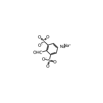 O=Cc1c(S(=O)(=O)[O-])cccc1S(=O)(=O)[O-].[Na+].[Na+]